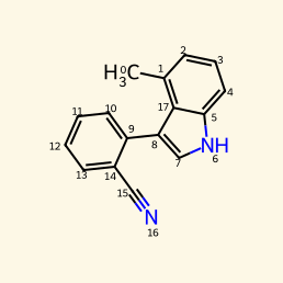 Cc1cccc2[nH]cc(-c3ccccc3C#N)c12